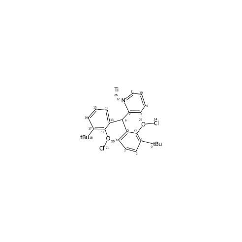 CC(C)(C)c1cccc(C(c2ccccn2)c2cccc(C(C)(C)C)c2OCl)c1OCl.[Ti]